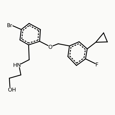 OCCNCc1cc(Br)ccc1OCc1ccc(F)c(C2CC2)c1